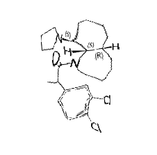 CC(C(=O)N1CCC[C@H]2CCC[C@H](N3CCCC3)[C@H]21)c1ccc(Cl)c(Cl)c1